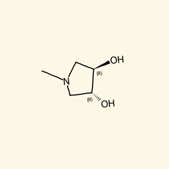 CN1C[C@@H](O)[C@H](O)C1